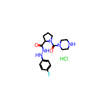 Cl.O=C(NNc1ccc(F)cc1)C1CCCN1C(=O)N1CCNCC1